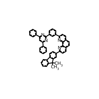 CC1(C)c2ccccc2-c2ccc(-c3ccc4ccc5ccc(-c6cccc(-c7nc(-c8ccccc8)cc(-c8ccccc8)n7)c6)nc5c4n3)cc21